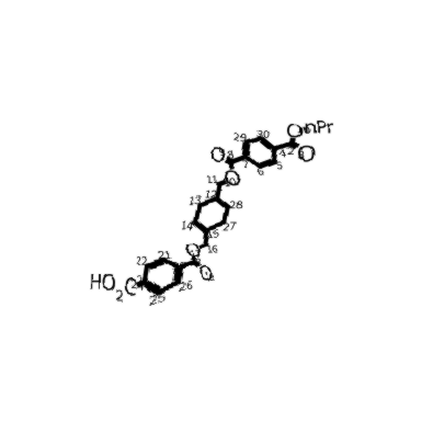 CCCOC(=O)c1ccc(C(=O)OCC2CCC(COC(=O)c3ccc(C(=O)O)cc3)CC2)cc1